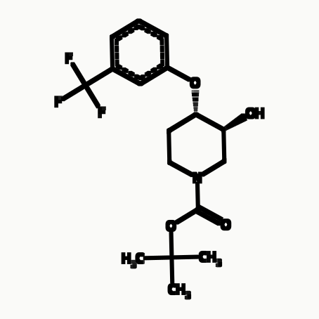 CC(C)(C)OC(=O)N1CC[C@H](Oc2cccc(C(F)(F)F)c2)[C@@H](O)C1